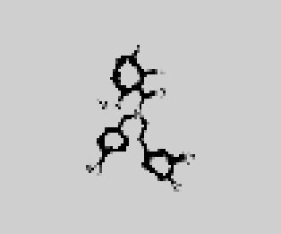 CNc1ccc(F)c(Cl)c1C(=O)N(CCc1ccc(Cl)c(Cl)c1)Cc1ccc(C(C)(C)C)cc1